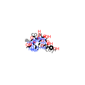 CC[C@H](C)[C@H](NC(=O)[C@H](Cc1c[nH]cn1)NC(=O)[C@@H](N)[C@@H](C)O)C(=O)N[C@@H](CCC(=O)O)C(=O)N[C@@H](CCC(=O)O)C(=O)N[C@@H](CO)C(=O)N[C@@H](CO)C(=O)N[C@@H](CO)C(=O)N[C@@H](Cc1ccc(O)cc1)C(=O)O